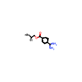 CCCCC(CC)COC(=O)c1ccc(C(N)N)cc1